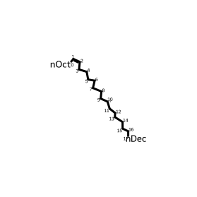 CCCCCCCC/C=C\CCCCCCC[CH]CCCCCCCCCCCCCCCC